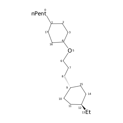 CCCCCC1CCC(OCCC[C@H]2CC[C@H](CC)CC2)CC1